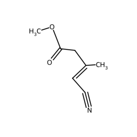 COC(=O)CC(C)=CC#N